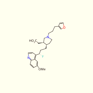 COc1ccc2nccc([C@@H](F)CC[C@@H]3CCN(CCCc4ccoc4)C[C@@H]3CC(=O)O)c2c1